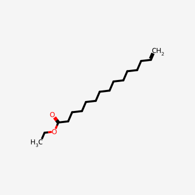 C=CCCCCCCCCCCCCC(=O)OCC